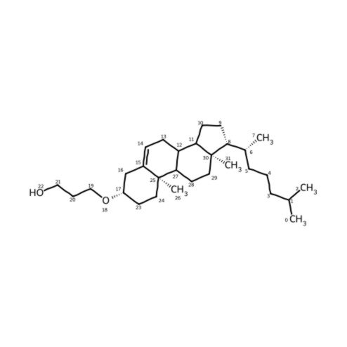 CC(C)CCC[C@@H](C)[C@H]1CCC2C3CC=C4C[C@@H](OCCCO)CC[C@]4(C)C3CC[C@@]21C